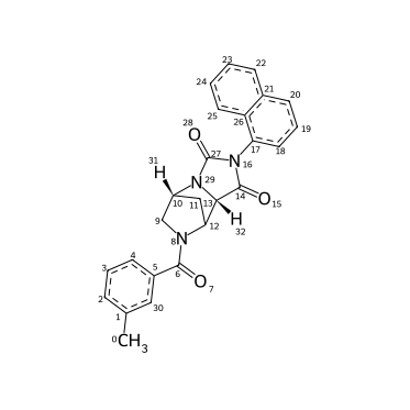 Cc1cccc(C(=O)N2C[C@H]3CC2[C@H]2C(=O)N(c4cccc5ccccc45)C(=O)N32)c1